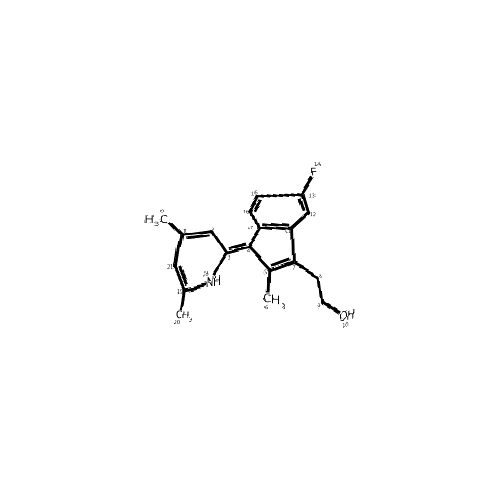 CC1=CC(=C2C(C)=C(CCO)c3cc(F)ccc32)NC(C)=C1